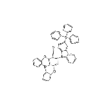 N#Cc1c(-n2c3ccccc3c3cc([Si](c4ccccc4)(c4ccccc4)c4ccccc4)ccc32)cc2c3c1Oc1ccccc1B3c1ccccc1O2